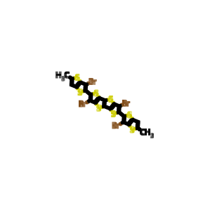 Cc1cc2sc(-c3sc4c(sc5c6sc(-c7sc8cc(C)sc8c7Br)c(Br)c6sc45)c3Br)c(Br)c2s1